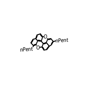 CCCCCc1cc2ccc3oc4c(CCCCC)ccc5ccc6oc(c1)c2c3-c6c54